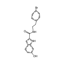 O=C(NCCc1ccc(Br)cc1)c1cc2ccc(O)cc2[nH]1